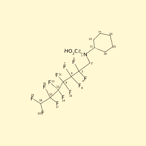 O=C(O)N(CC(F)(F)C(F)(F)C(F)(F)C(F)(F)C(F)(F)C(F)F)C1CCCCC1